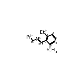 CCc1cccc(C)c1N=NCC(C)C